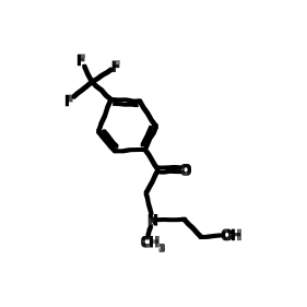 CN(CCO)CC(=O)c1ccc(C(F)(F)F)cc1